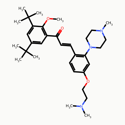 COc1c(C(=O)C=Cc2ccc(OCCN(C)C)cc2N2CCN(C)CC2)cc(C(C)(C)C)cc1C(C)(C)C